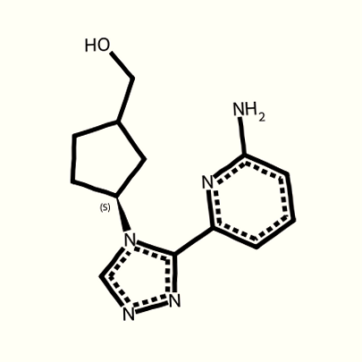 Nc1cccc(-c2nncn2[C@H]2CCC(CO)C2)n1